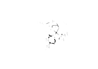 C[SiH](C)[C@]1(n2ccc(N)nc2=O)C[C@@](O)(C(C)(C)C)[C@@H](COC(C)(C)C)O1